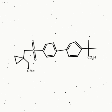 COCC1(CS(=O)(=O)c2ccc(-c3ccc(C(C)(C)C(=O)O)cc3)cc2)CC1